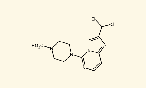 O=C(O)N1CCN(c2nccc3nc(C(Cl)Cl)cn23)CC1